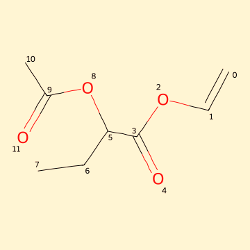 C=COC(=O)C(CC)OC(C)=O